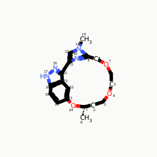 C[C@H]1CCOCCOCc2nc(cn2C)-c2n[nH]c3ccc(cc23)O1